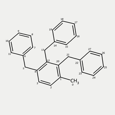 Cc1ccc(Cc2ccccc2)c(Cc2ccccc2)c1Cc1ccccc1